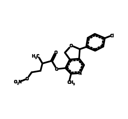 Cc1ncc2c(c1OC(=O)C(C)CCO[N+](=O)[O-])COC2c1ccc(Cl)cc1